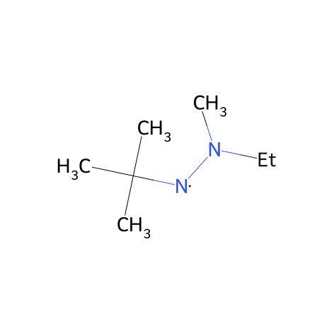 CCN(C)[N]C(C)(C)C